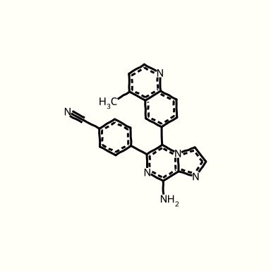 Cc1ccnc2ccc(-c3c(-c4ccc(C#N)cc4)nc(N)c4nccn34)cc12